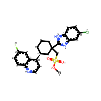 CCOS(=O)(=O)CC1(c2nc3cc(Cl)ccc3[nH]2)CCC[C@H](c2ccnc3ccc(F)cc23)C1